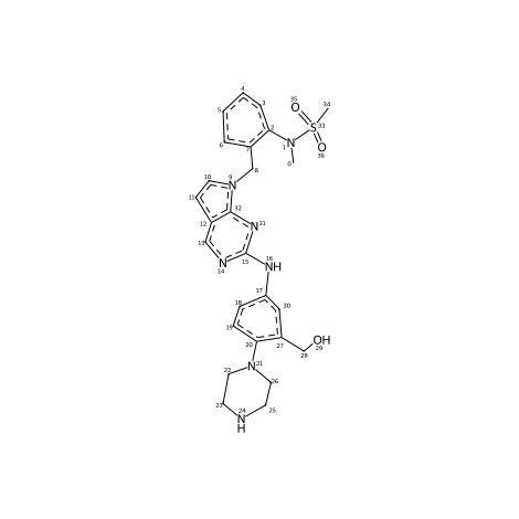 CN(c1ccccc1Cn1ccc2cnc(Nc3ccc(N4CCNCC4)c(CO)c3)nc21)S(C)(=O)=O